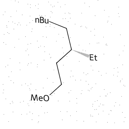 CCCCC[C@H](CC)CCOC